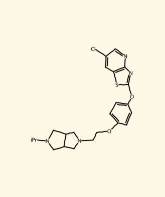 CC(C)N1CC2CN(CCOc3ccc(Oc4nc5ncc(Cl)cc5s4)cc3)CC2C1